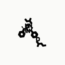 CCCC(C)COc1ccc([C@H](CNCC(C)CC)NC(=O)[C@@H](C)c2ccccc2)cc1